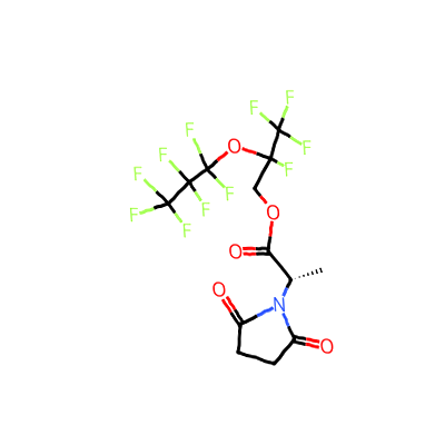 C[C@@H](C(=O)OCC(F)(OC(F)(F)C(F)(F)C(F)(F)F)C(F)(F)F)N1C(=O)CCC1=O